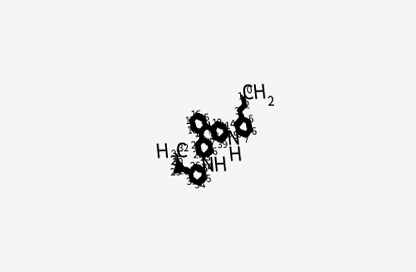 C=CCCc1cccc(Nc2ccc(C3C=CC=CC3C3C=CC(NC4=CC(C5C[C@H]5C=C)CC=C4)=CC3)cc2)c1